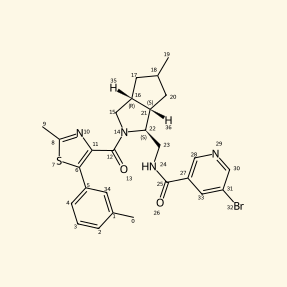 Cc1cccc(-c2sc(C)nc2C(=O)N2C[C@@H]3CC(C)C[C@@H]3[C@H]2CNC(=O)c2cncc(Br)c2)c1